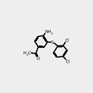 CC(=O)c1ccc(N)c(Sc2ccc(Cl)cc2Cl)c1